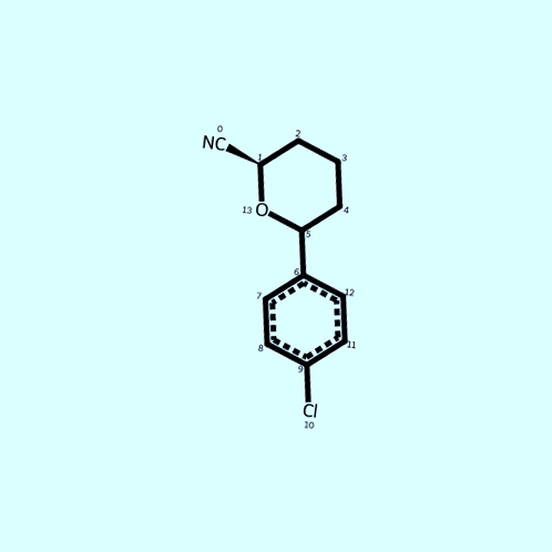 N#C[C@H]1CCCC(c2ccc(Cl)cc2)O1